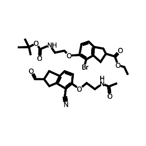 CC(=O)NCCOc1ccc2c(c1C#N)CC(C=O)C2.CCOC(=O)C1Cc2ccc(OCCNC(=O)OC(C)(C)C)c(Br)c2C1